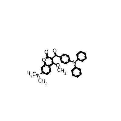 COc1c(C(=O)c2ccc(N(c3ccccc3)c3ccccc3)cc2)c(=O)oc2cc(N(C)C)ccc12